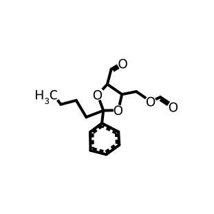 CCCCC1(c2ccccc2)OC(C=O)C(COC=O)O1